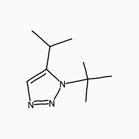 CC(C)c1cnnn1C(C)(C)C